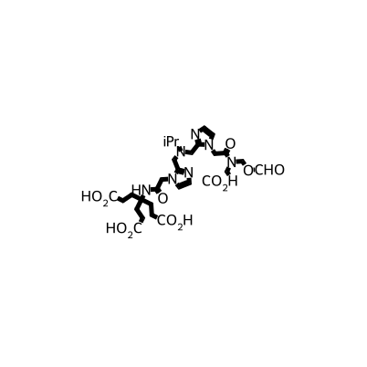 CC(C)N(Cc1nccn1CC(=O)NC(CCC(=O)O)(CCC(=O)O)CCC(=O)O)Cc1nccn1CC(=O)N(COC=O)CC(=O)O